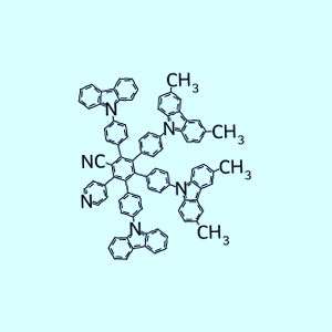 Cc1ccc2c(c1)c1cc(C)ccc1n2-c1ccc(-c2c(-c3ccc(-n4c5ccccc5c5ccccc54)cc3)c(C#N)c(-c3ccncc3)c(-c3ccc(-n4c5ccccc5c5ccccc54)cc3)c2-c2ccc(-n3c4ccc(C)cc4c4cc(C)ccc43)cc2)cc1